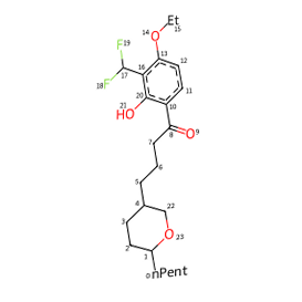 CCCCCC1CCC(CCCC(=O)c2ccc(OCC)c(C(F)F)c2O)CO1